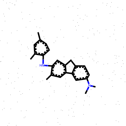 Cc1ccc(Nc2cc3c(cc2C)-c2cc(N(C)C)ccc2C3)c(C)c1